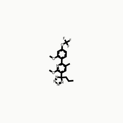 CCCC1(c2cc(C)c(-c3ccc(OC(F)(F)F)cc3OC)nc2OC)N=NN=N1